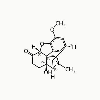 [2H]c1cc(OC)c2c3c1C[C@H]1N(C)CC[C@@]34[C@@H](O2)C(=O)CC[C@@]14O